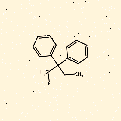 CCC([SiH2]F)(c1ccccc1)c1ccccc1